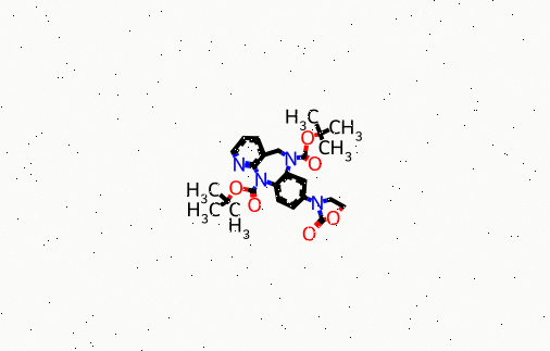 CC(C)(C)OC(=O)N1Cc2cccnc2N(C(=O)OC(C)(C)C)c2ccc(N3CCOC3=O)cc21